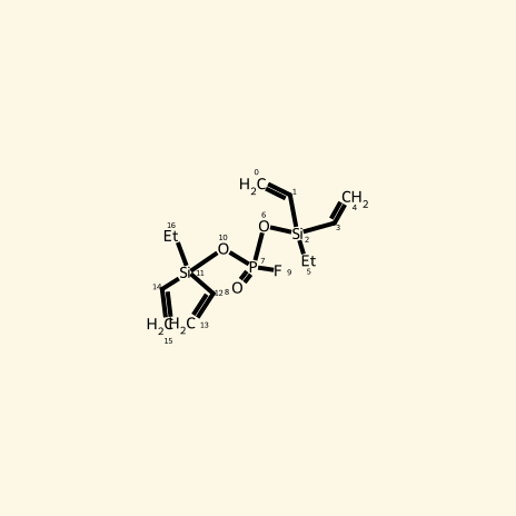 C=C[Si](C=C)(CC)OP(=O)(F)O[Si](C=C)(C=C)CC